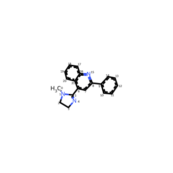 CN1CCN=C1c1cc(-c2ccccc2)nc2ccccc12